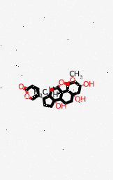 COC1O[C@@H]2C[C@]3(C)[C@@H](c4ccc(=O)oc4)CC[C@]3(O)C3CC[C@]4(O)C[C@@H](O)CC[C@@]14[C@H]32